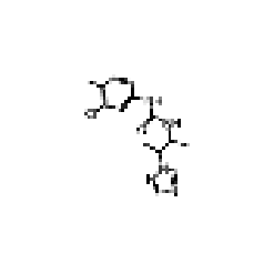 Cc1ccc(NC(=O)NC(C)C(C)n2cncn2)cc1Cl